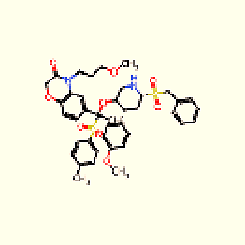 COCCCN1C(=O)COc2ccc(C(C)(O[C@H]3CN[C@@H](S(=O)(=O)Cc4ccccc4)C[C@@H]3c3ccc(OC)cc3)S(=O)(=O)c3ccc(C)cc3)cc21